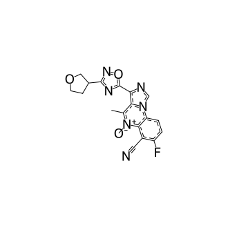 Cc1c2c(-c3nc(C4CCOC4)no3)ncn2c2ccc(F)c(C#N)c2[n+]1[O-]